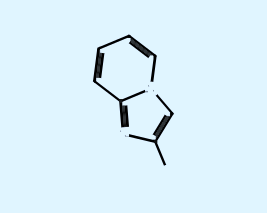 Fc1cn2ccccc2n1